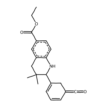 CCOC(=O)c1ccc2c(c1)CC(C)(C)C(C1=CC=CC(=C=O)C1)N2